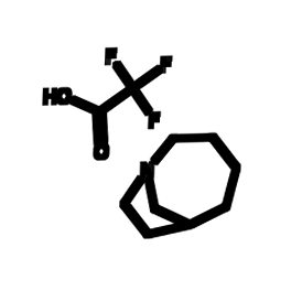 C1CCN2CCC(C1)C2.O=C(O)C(F)(F)F